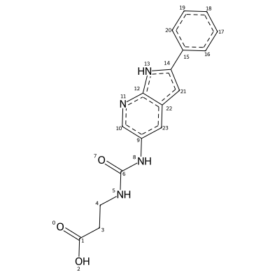 O=C(O)CCNC(=O)Nc1cnc2[nH]c(-c3ccccc3)cc2c1